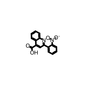 O=C(O)c1cc(-c2ccccc2[N+](=O)[O-])nc2ccccc12